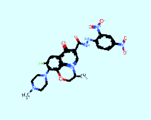 C[C@H]1COc2c(N3CCN(C)CC3)c(F)cc3c(=O)c(C(=O)NNc4ccc([N+](=O)[O-])cc4[N+](=O)[O-])cn1c23